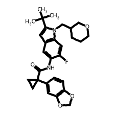 CC(C)(C)c1cc2cc(NC(=O)C3(c4ccc5c(c4)OCO5)CC3)c(F)cc2n1CC1CCCOC1